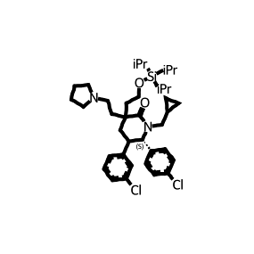 CC(C)[Si](OCCC1(CCN2CCCC2)CC(c2cccc(Cl)c2)[C@@H](c2ccc(Cl)cc2)N(CC2CC2)C1=O)(C(C)C)C(C)C